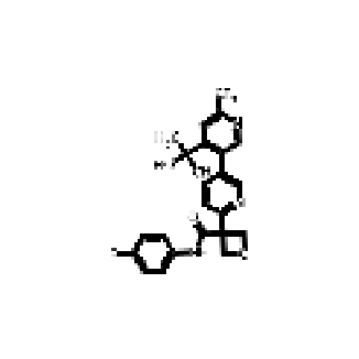 CC(C)(O)c1cc(C(F)(F)F)ncc1-c1ccc(C2(C(=O)Nc3ccc(F)cc3)COC2)nc1